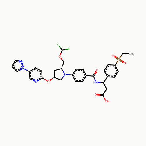 CCS(=O)(=O)c1ccc(C(CC(=O)O)NC(=O)c2ccc(N3C[C@@H](Oc4ccc(-n5cccn5)cn4)C[C@H]3COC(F)F)cc2)cc1